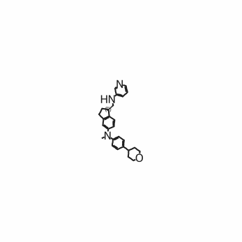 CN(c1ccc(C2CCOCC2)cc1)c1ccc2c(c1)CC[C@H]2CNc1cccnc1